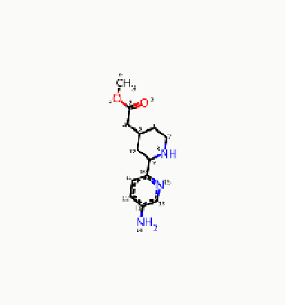 COC(=O)CC1CCNC(c2ccc(N)cn2)C1